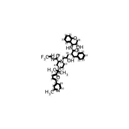 Cc1cc(-c2ccc(C(C)(C)N3CCN(C[C@@H](O)C[C@@H](Cc4ccccc4)C(=O)N[C@H]4c5ccccc5OC[C@H]4O)[C@H](C(=O)NCC(F)(F)F)C3)o2)ccn1